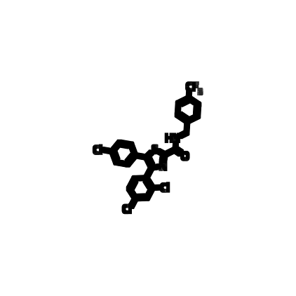 O=C(NCc1ccc(C(F)(F)F)cc1)c1nc(-c2ccc(Cl)cc2Cl)c(-c2ccc(Cl)cc2)s1